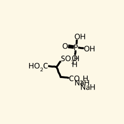 O=C(O)CC(C(=O)O)S(=O)(=O)O.O=P(O)(O)O.[NaH].[NaH]